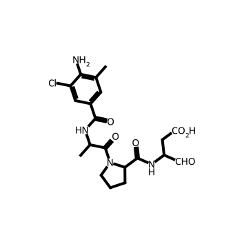 Cc1cc(C(=O)NC(C)C(=O)N2CCCC2C(=O)NC(C=O)CC(=O)O)cc(Cl)c1N